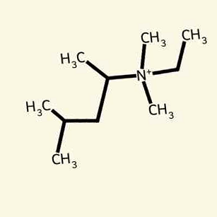 CC[N+](C)(C)C(C)CC(C)C